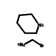 C1CCNCC1.CCCCCBr